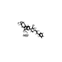 Cl.Cl.Cn1c2c(c3ccc(N4CCN(CCc5ccccc5)CC4=O)nc31)CNCC2